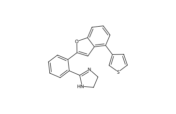 c1ccc(-c2cc3c(-c4ccsc4)cccc3o2)c(C2=NCCN2)c1